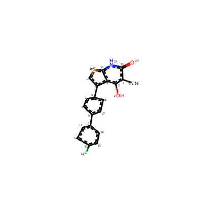 N#Cc1c(O)c2c(-c3ccc(-c4ccc(F)cc4)cc3)csc2[nH]c1=O